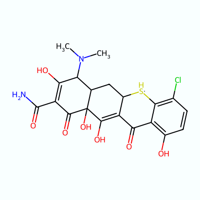 CN(C)C1C(O)=C(C(N)=O)C(=O)C2(O)C(O)=C3C(=O)c4c(O)ccc(Cl)c4[SH]C3CC12